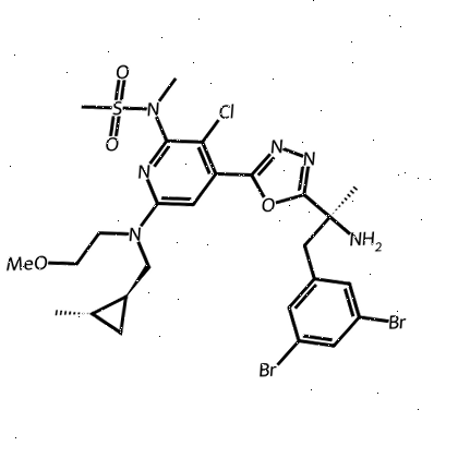 COCCN(C[C@H]1C[C@@H]1C)c1cc(-c2nnc([C@@](C)(N)Cc3cc(Br)cc(Br)c3)o2)c(Cl)c(N(C)S(C)(=O)=O)n1